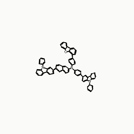 c1ccc(-n2c3ccccc3c3cc(-c4ccc(N(c5ccc(-c6cccc7c6oc6ccccc67)cc5)c5ccc6cc(-c7ccc8c9ccccc9n(-c9ccccc9)c8c7)ccc6c5)cc4)ccc32)cc1